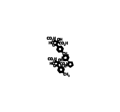 CN1CCC[C@H]1c1cccnc1.Cc1ccc(C(=O)C(O)(C(=O)O)C(O)C(=O)O)cc1.Cc1ccc(C(=O)C(O)(C(=O)O)C(O)C(=O)O)cc1